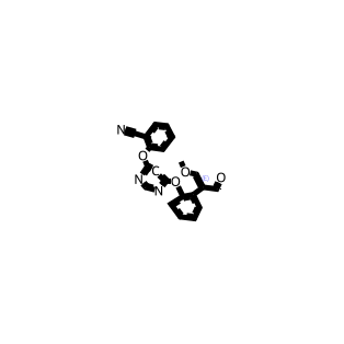 CO/C=C(/[C]=O)c1ccccc1Oc1cc(Oc2ccccc2C#N)ncn1